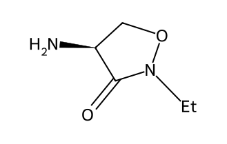 CCN1OC[C@H](N)C1=O